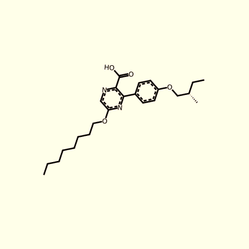 CCCCCCCCOc1cnc(C(=O)O)c(-c2ccc(OC[C@@H](C)CC)cc2)n1